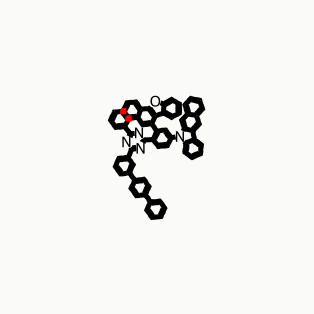 c1ccc(-c2ccc(-c3cccc(-c4nc(-c5ccccc5)nc(-c5ccc(-n6c7ccccc7c7cc8ccccc8cc76)cc5-c5cc6ccccc6c6oc7ccccc7c56)n4)c3)cc2)cc1